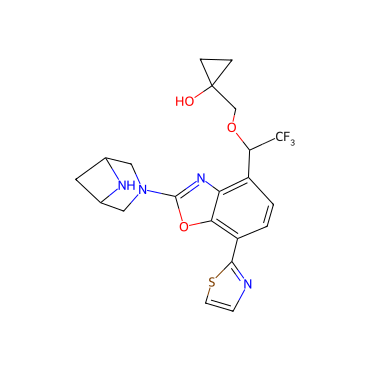 OC1(COC(c2ccc(-c3nccs3)c3oc(N4CC5CC(C4)N5)nc23)C(F)(F)F)CC1